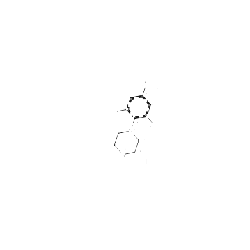 C[C@@H]1CN(c2c(F)cc([N+](=O)[O-])cc2F)C[C@H](C)N1